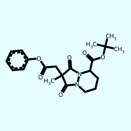 CC(C)(C)OC(=O)C1CCCN2C(=O)C(C)(CC(=O)Oc3ccccc3)C(=O)N12